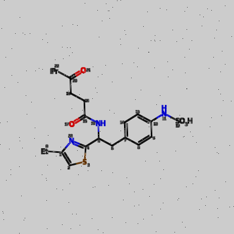 CCc1csc(C(Cc2ccc(NS(=O)(=O)O)cc2)NC(=O)CCC(=O)C(C)C)n1